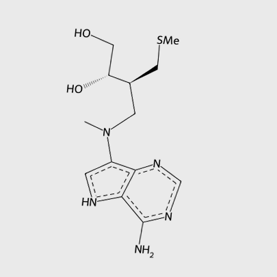 CSC[C@@H](CN(C)c1c[nH]c2c(N)ncnc12)[C@H](O)CO